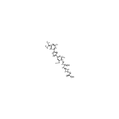 CCc1cc(-c2noc(-c3cc(C)nc(N(CC)CC)c3)n2)cc(C)c1OC[C@@H](O)CN1CC(OC(=O)O)C1